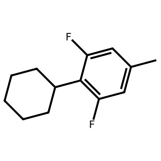 Cc1cc(F)c(C2CCCCC2)c(F)c1